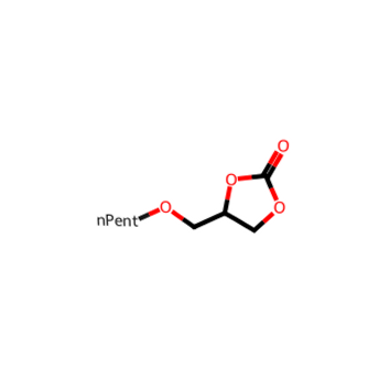 CCCCCOCC1COC(=O)O1